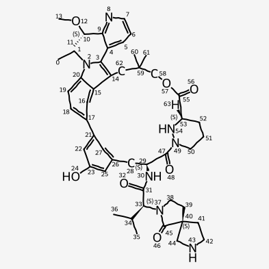 CCn1c(-c2cccnc2[C@H](C)OC)c2c3cc(ccc31)-c1cc(O)cc(c1)C[C@H](NC(=O)[C@H](C(C)C)N1CC[C@]3(CCNC3)C1=O)C(=O)N1CCC[C@H](N1)C(=O)OCC(C)(C)C2